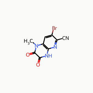 Cn1c(=O)c(=O)[nH]c2nc(C#N)c(Br)cc21